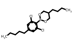 CCCCCc1cc(Cl)c(B2OCC(CCCC)CO2)c(Cl)c1